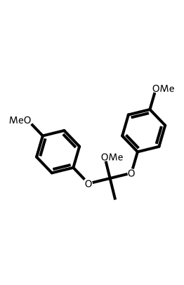 COc1ccc(OC(C)(OC)Oc2ccc(OC)cc2)cc1